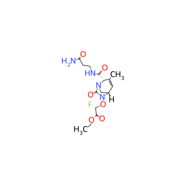 CCOC(=O)[C@H](F)ON1C(=O)N2C[C@@H]1C=C(C)[C@H]2C(=O)NCCC(N)=O